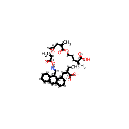 C=C(CCCOC(=O)C(=C)CC1CO1)C(=O)O.C=CC(=O)ON=Cc1c2ccccc2cc2cccc(C=C(CC)C(=O)O)c12